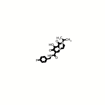 CC(C)n1ccn2cc(C(=O)NCc3ccc(F)cc3)c(=O)c(O)c2c1=O